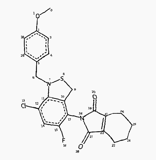 COc1ccc(CN2SCc3c2c(Cl)cc(F)c3N2C(=O)C3=C(CCCC3)C2=O)cc1